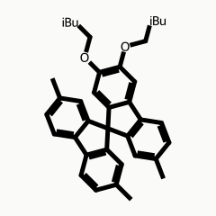 CCC(C)COc1cc2c(cc1OCC(C)CC)C1(c3cc(C)ccc3-c3ccc(C)cc31)c1cc(C)ccc1-2